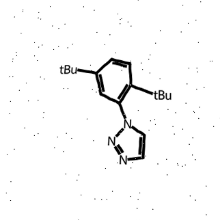 CC(C)(C)c1ccc(C(C)(C)C)c(-n2ccnn2)c1